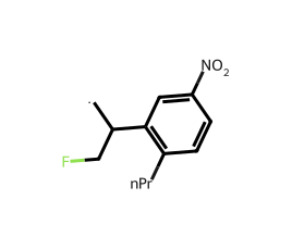 [CH2]C(CF)c1cc([N+](=O)[O-])ccc1CCC